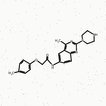 Cc1ccc(OCC(=O)Nc2ccc3nc(N4CCNCC4)nc(C)c3c2)cc1